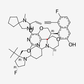 C#Cc1c(F)ccc2cc(O)cc([C@@H]3COc4c(nc(OC[C@]5(C(C)(C)C)C[C@@H](F)CN5C5CCC(N6CCOC[C@@H]6C)CC5)nc4NCC4(N(C)C(=O)C=C)CCCC4)C3)c12